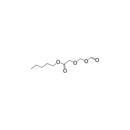 CCCCCOC(=O)COCOC=O